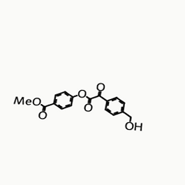 COC(=O)c1ccc(OC(=O)C(=O)c2ccc(CO)cc2)cc1